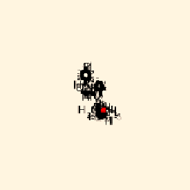 Cc1cccc(C[C@H](NC(=O)C2(NC(=O)c3ccc(Cl)cc3)CC2)B2O[C@@H]3C[C@@H]4C[C@@H](C4(C)C)[C@]3(C)O2)c1